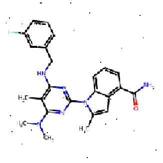 Cc1c(NCc2cccc(F)c2)nc(-n2c(C)cc3c(C(N)=O)cccc32)nc1N(C)C